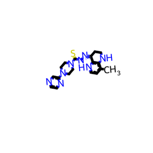 Cc1ccnc2c1NCC/C2=N/NC(=S)N1CCN(c2cnccn2)CC1